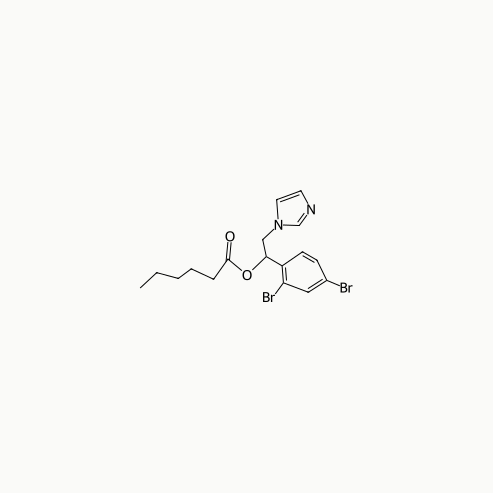 CCCCCC(=O)OC(Cn1ccnc1)c1ccc(Br)cc1Br